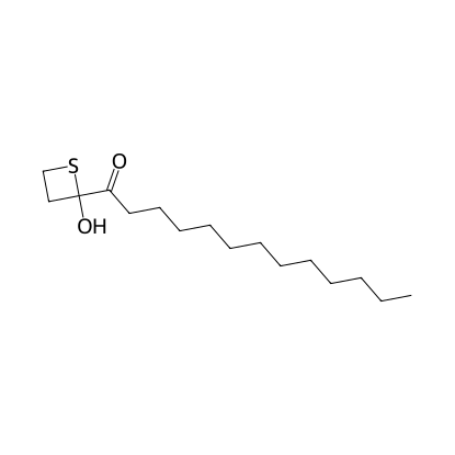 CCCCCCCCCCCCC(=O)C1(O)CCS1